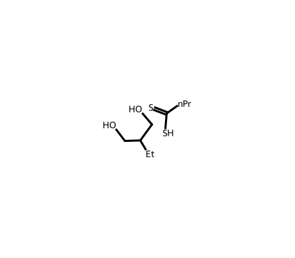 CCC(CO)CO.CCCC(=S)S